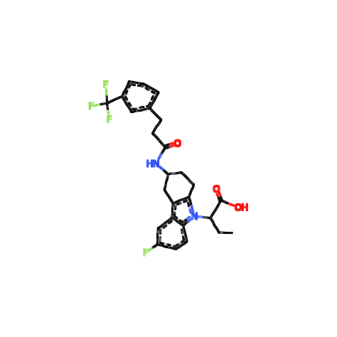 CCC(C(=O)O)n1c2c(c3cc(F)ccc31)CC(NC(=O)CCc1cccc(C(F)(F)F)c1)CC2